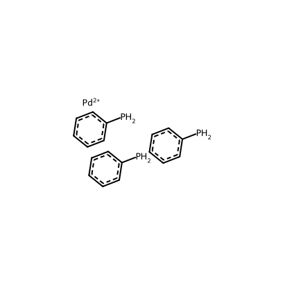 Pc1ccccc1.Pc1ccccc1.Pc1ccccc1.[Pd+2]